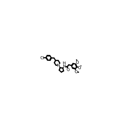 COc1cc(CC(=O)NC2CCCC2N2CCC(Cc3ccc(Cl)cc3)CC2)cc(OC)c1OC